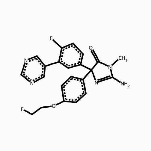 CN1C(=O)C(c2ccc(OCCF)cc2)(c2ccc(F)c(-c3cncnc3)c2)N=C1N